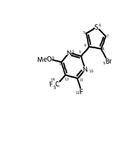 COc1nc(-c2cscc2Br)nc(F)c1C(F)(F)F